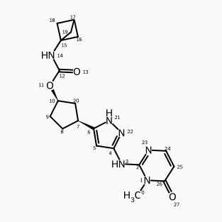 Cn1c(Nc2cc([C@H]3CC[C@@H](OC(=O)NC45CC(C4)C5)C3)[nH]n2)nccc1=O